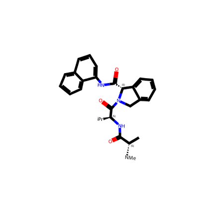 CN[C@@H](C)C(=O)N[C@H](C(=O)N1Cc2ccccc2[C@H]1C(=O)Nc1cccc2ccccc12)C(C)C